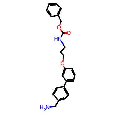 NCc1ccc(-c2cccc(OCCCNC(=O)OCc3ccccc3)c2)cc1